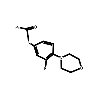 CC(C)C(=O)Nc1ccc(N2CCOCC2)c(F)c1